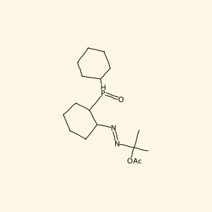 CC(=O)OC(C)(C)N=NC1CCCCC1[PH](=O)C1CCCCC1